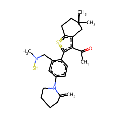 C=C1CCCCN1c1ccc(-c2sc3c(c2C(C)=O)CC(C)(C)CC3)c(CN(C)S)c1